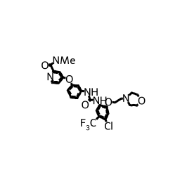 CNC(=O)c1cc(Oc2cccc(NC(=O)Nc3cc(C(F)(F)F)c(Cl)cc3OCCN3CCOCC3)c2)ccn1